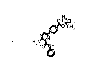 CC(C)(C)OC(=O)N1CCN(c2cnc(N)c(C(=O)Nc3ccccn3)n2)CC1